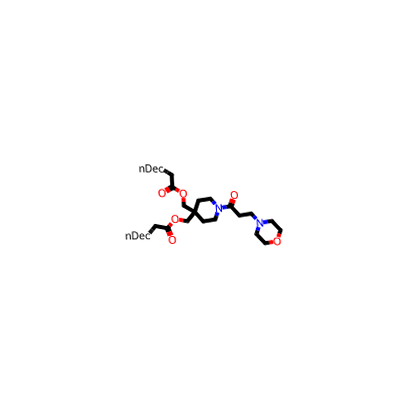 CCCCCCCCCCCC(=O)OCC1(COC(=O)CCCCCCCCCCC)CCN(C(=O)CCN2CCOCC2)CC1